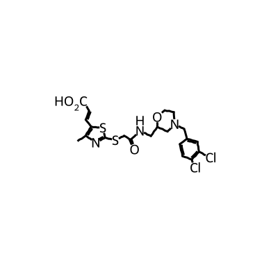 Cc1nc(SCC(=O)NCC2CN(Cc3ccc(Cl)c(Cl)c3)CCO2)sc1C=CC(=O)O